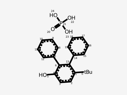 CC(C)(C)c1ccc(O)c(-c2ccccc2)c1-c1ccccc1.O=P(O)(O)O